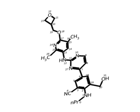 CCCNc1c(C#N)cc(-c2ccnc(Nc3cc(C)c(OCC4COC4)nc3C)n2)cc1CO